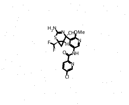 COc1ncc(NC(=O)c2ccc(Cl)cn2)cc1[C@]1(C)N=C(N)S[C@@]2(C(F)F)C[C@@H]12